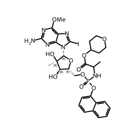 COc1nc(N)nc2c1nc(I)n2[C@@H]1O[C@H](COP(=O)(NC(C)C(=O)OC2CCOCC2)Oc2cccc3ccccc23)[C@@H](O)[C@@]1(C)O